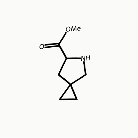 COC(=O)C1CC2(CC2)CN1